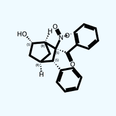 O=C(c1ccccc1)[C@]1([N+](=O)[O-])[C@H](c2ccccc2)[C@H]2C[C@H](O)[C@@H]1C2